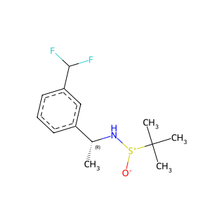 C[C@@H](N[S+]([O-])C(C)(C)C)c1cccc(C(F)F)c1